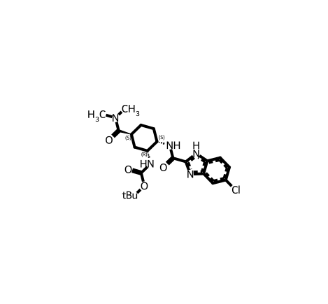 CN(C)C(=O)[C@H]1CC[C@H](NC(=O)c2nc3cc(Cl)ccc3[nH]2)[C@H](NC(=O)OC(C)(C)C)C1